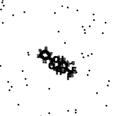 C[C@H]1C[C@@H]2O[C@H](c3ccccc3)OC[C@H]2OC1C(F)F